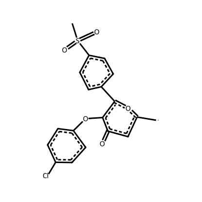 [CH2]c1cc(=O)c(Oc2ccc(Cl)cc2)c(-c2ccc(S(C)(=O)=O)cc2)o1